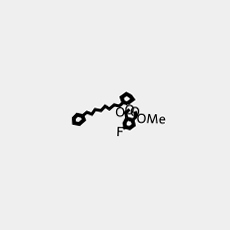 COC(=O)c1ccc(F)cc1C(=O)Oc1ccccc1CCCCCCCCc1ccccc1